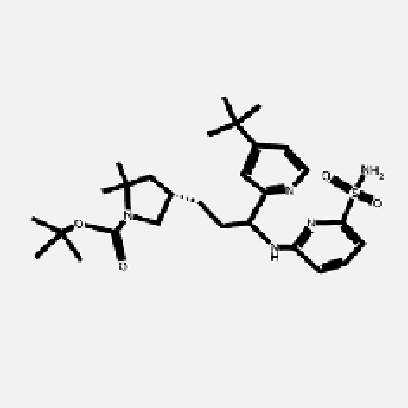 CC(C)(C)OC(=O)N1C[C@@H](CCC(Nc2cccc(S(N)(=O)=O)n2)c2cc(C(C)(C)C)ccn2)CC1(C)C